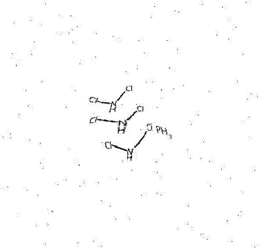 ClNCl.ClNCl.ClNCl.P